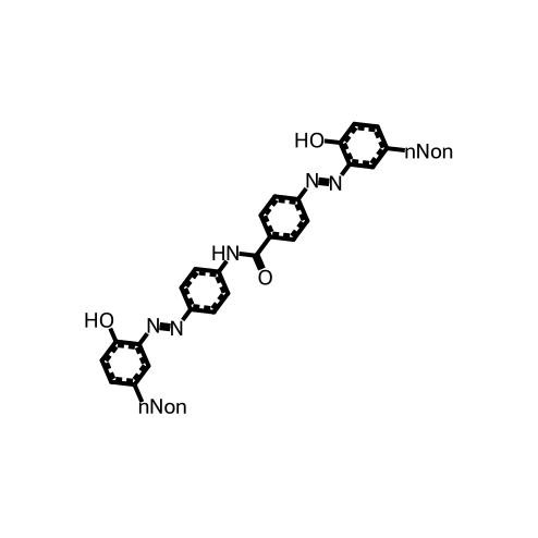 CCCCCCCCCc1ccc(O)c(N=Nc2ccc(NC(=O)c3ccc(N=Nc4cc(CCCCCCCCC)ccc4O)cc3)cc2)c1